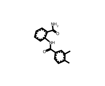 Cc1ccc(C(=O)Nc2ccccc2C(N)=O)cc1C